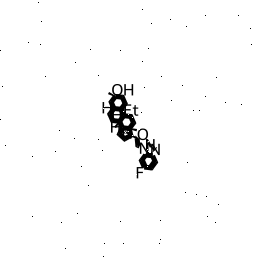 CC[C@]12CC[C@@](C)(O)C[C@@H]1CC[C@H]1[C@@H]3CC[C@H](C(=O)Cn4nnc5ccc(F)cc54)[C@@]3(C)CC[C@@H]12